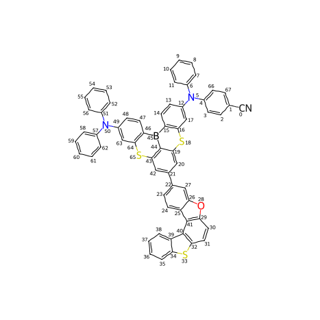 N#Cc1ccc(N(c2ccccc2)c2ccc3c(c2)Sc2cc(-c4ccc5c(c4)oc4ccc6sc7ccccc7c6c45)cc4c2B3c2ccc(N(c3ccccc3)c3ccccc3)cc2S4)cc1